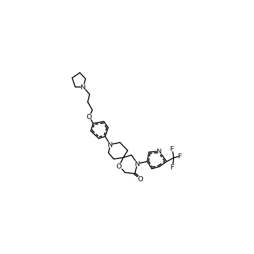 O=C1COC2(CCN(c3ccc(OCCCN4CCCC4)cc3)CC2)CN1c1ccc(C(F)(F)F)nc1